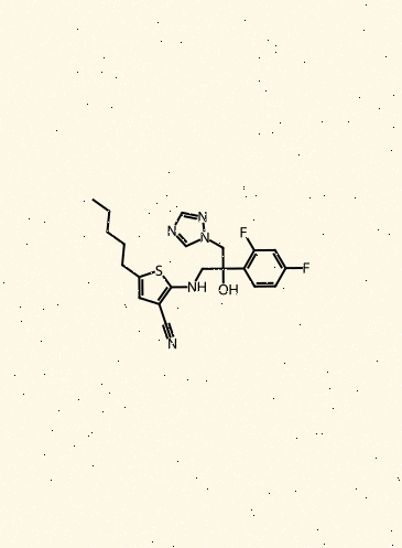 CCCCCc1cc(C#N)c(NCC(O)(Cn2cncn2)c2ccc(F)cc2F)s1